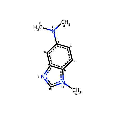 CN(C)c1ccc2c(c1)ncn2C